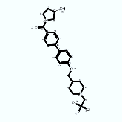 CCC(F)(CC)CN1CCC(COc2ccc(-c3ccc(C(=O)N4CC[C@H](O)C4)cc3)cc2)CC1